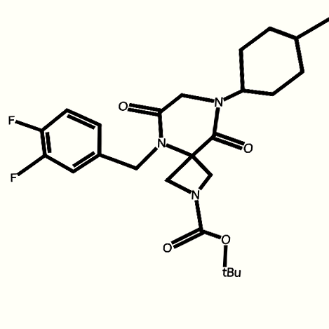 CC1CCC(N2CC(=O)N(Cc3ccc(F)c(F)c3)C3(CN(C(=O)OC(C)(C)C)C3)C2=O)CC1